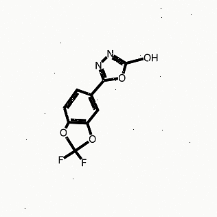 Oc1nnc(-c2ccc3c(c2)OC(F)(F)O3)o1